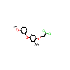 CCCc1cc(Oc2cccc(OC(C)C)c2)ccc1OCC=C(Cl)Cl